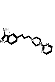 Nc1c[nH]c2ccc(CCCN3CCN(c4ncccn4)CC3)cc12